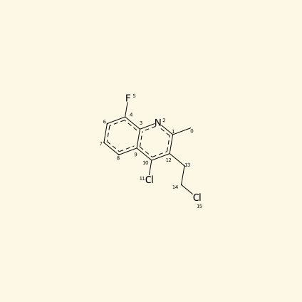 Cc1nc2c(F)cccc2c(Cl)c1CCCl